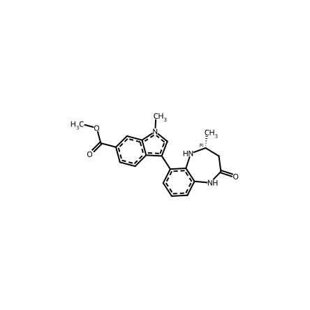 COC(=O)c1ccc2c(-c3cccc4c3N[C@H](C)CC(=O)N4)cn(C)c2c1